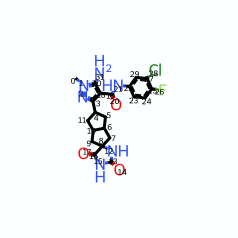 Cn1nc(C2CC3CC4(CC3C2)NC(=O)NC4=O)c(C(=O)Nc2ccc(F)c(Cl)c2)c1N